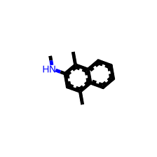 CNc1cc(C)c2ccccc2c1C